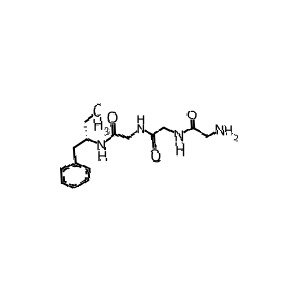 CC[C@@H](Cc1ccccc1)NC(=O)CNC(=O)CNC(=O)CN